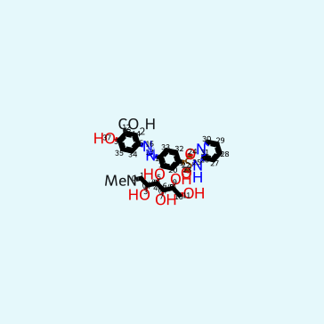 CNC[C@H](O)[C@@H](O)[C@H](O)[C@H](O)CO.O=C(O)c1cc(/N=N/c2ccc(S(=O)(=O)Nc3ccccn3)cc2)ccc1O